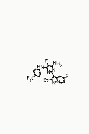 CCc1nn2ccc(F)cc2c1-c1nc(N)c(F)c(Nc2ccc(C(F)(F)F)cc2)n1